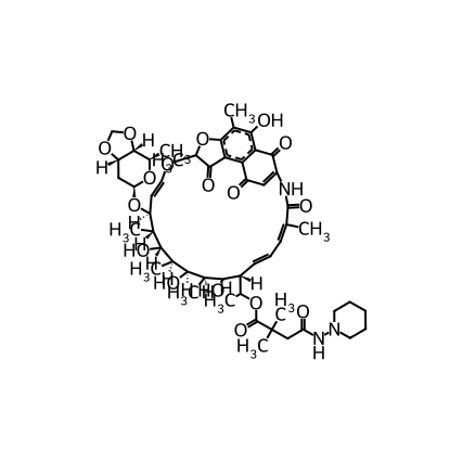 C/C1=C/C=C/[C@H](C(C)OC(=O)C(C)(C)CC(=O)NN2CCCCC2)[C@H](O)[C@@H](C)[C@@H](O)[C@@H](C)[C@H](O)[C@H](C)[C@@H](O[C@H]2C[C@@H]3OCO[C@@H]3[C@@H](C)O2)/C=C/O[C@@]2(C)Oc3c(C)c(O)c4c(c3C2=O)C(=O)C=C(NC1=O)C4=O